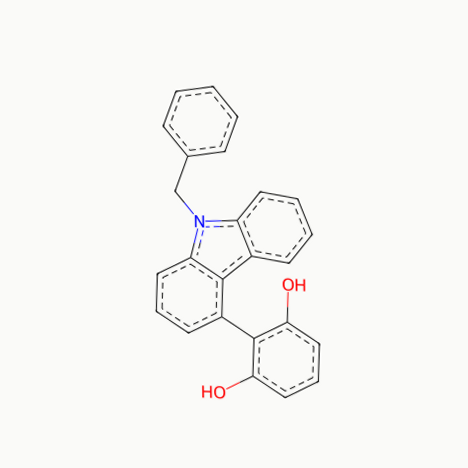 Oc1cccc(O)c1-c1cccc2c1c1ccccc1n2Cc1ccccc1